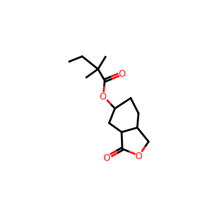 CCC(C)(C)C(=O)OC1CCC2COC(=O)C2C1